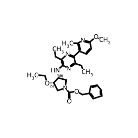 CCO[C@H]1CN(C(=O)OCc2ccccc2)C[C@H]1Nc1nc(CC)c(-c2ccc(OC)nc2C)nc1CC